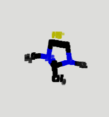 CCn1cc[n+](C)c1C.[SH-]